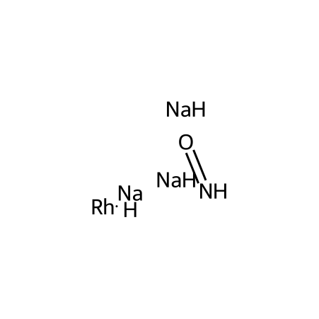 N=O.[NaH].[NaH].[NaH].[Rh]